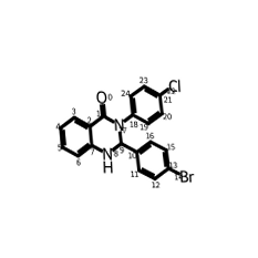 O=C1c2ccccc2NC(c2ccc(Br)cc2)N1c1ccc(Cl)cc1